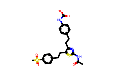 CC(=O)Nc1nc(CCc2ccc(NC(=O)O)cc2)c(CCc2ccc(S(C)(=O)=O)cc2)s1